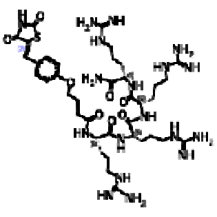 N=C(N)NCCC[C@H](NC(=O)[C@H](CCCNC(=N)N)NC(=O)[C@H](CCCNC(=N)N)NC(=O)[C@H](CCCNC(=N)N)NC(=O)CCCOc1ccc(/C=C2\SC(=O)NC2=O)cc1)C(N)=O